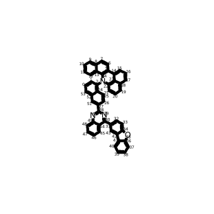 c1cc(N2c3c(ccc4ccccc34)-c3cccc4cccc2c34)c2ccc(-c3nc(-c4ccc5oc6ccccc6c5c4)c4ccccc4n3)cc2c1